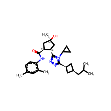 Cc1ccc(NC(=O)[C@H]2C[C@@](C)(O)C[C@@H]2c2nnc([C@H]3C[C@@H](CC(C)C)C3)n2C2CC2)c(C)c1